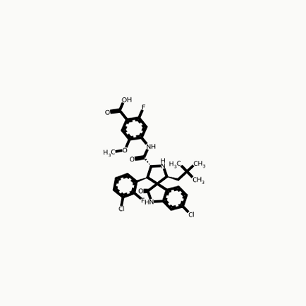 COc1cc(C(=O)O)c(F)cc1NC(=O)[C@@H]1N[C@@H](CC(C)(C)C)C2(C(=O)Nc3cc(Cl)ccc32)[C@H]1c1cccc(Cl)c1F